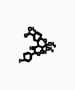 CC(=O)c1ccc2c(c1)C(NC(=O)c1ccc(F)cc1)C(O)C(C)(C)O2